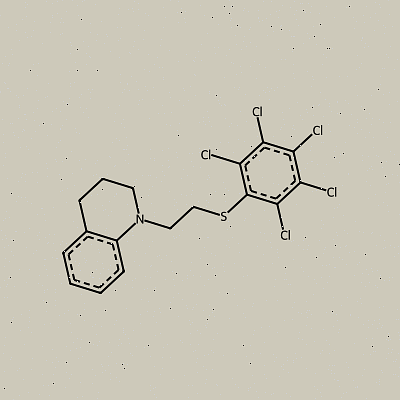 Clc1c(Cl)c(Cl)c(SCCN2CCCc3ccccc32)c(Cl)c1Cl